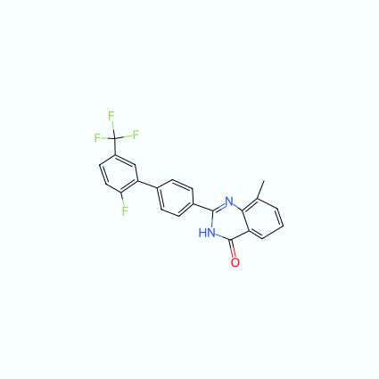 Cc1cccc2c(=O)[nH]c(-c3ccc(-c4cc(C(F)(F)F)ccc4F)cc3)nc12